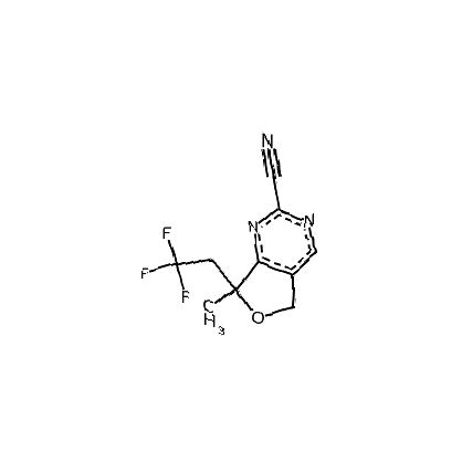 CC1(CC(F)(F)F)OCc2cnc(C#N)nc21